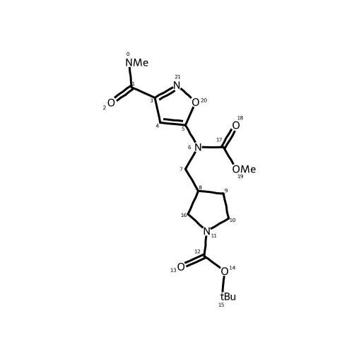 CNC(=O)c1cc(N(CC2CCN(C(=O)OC(C)(C)C)C2)C(=O)OC)on1